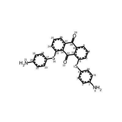 Nc1ccc(Sc2cccc3c2C(=O)c2c(Sc4ccc(N)cc4)cccc2C3=O)cc1